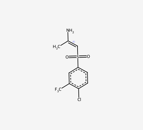 C/C(N)=C\S(=O)(=O)c1ccc(Cl)c(C(F)(F)F)c1